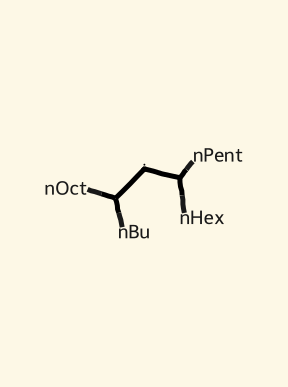 CCCCCCCCC([CH]C(CCCCC)CCCCCC)CCCC